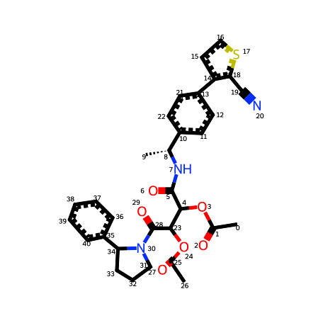 CC(=O)OC(C(=O)N[C@H](C)c1ccc(-c2ccsc2C#N)cc1)C(OC(C)=O)C(=O)N1CCCC1c1ccccc1